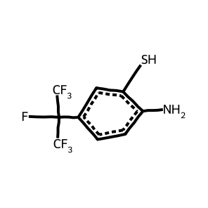 Nc1ccc(C(F)(C(F)(F)F)C(F)(F)F)cc1S